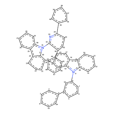 c1ccc(-c2cccc(-n3c4ccccc4c4ccc(-c5cccc6c7ccccc7n(-c7nc(-c8ccccc8)ccc7-c7ccccc7)c56)cc43)c2)cc1